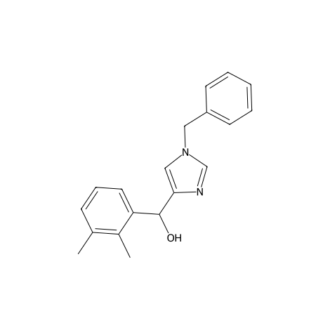 Cc1cccc(C(O)c2cn(Cc3ccccc3)cn2)c1C